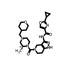 C[C@H]1CN(CC2CCOCC2)CCN1C(=O)N1CCc2[nH]nc(NC(=O)c3coc(C4CC4)n3)c2C1